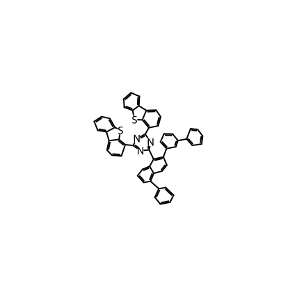 c1ccc(-c2cccc(-c3ccc4c(-c5ccccc5)cccc4c3-c3nc(-c4cccc5c4sc4ccccc45)nc(-c4cccc5c4sc4ccccc45)n3)c2)cc1